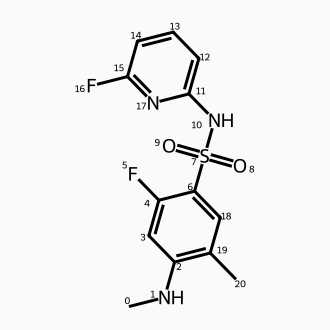 CNc1cc(F)c(S(=O)(=O)Nc2cccc(F)n2)cc1C